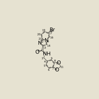 O=C(NCc1ccc2c(c1)OCO2)c1cn2cc(Br)ccc2n1